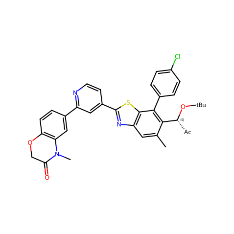 CC(=O)[C@@H](OC(C)(C)C)c1c(C)cc2nc(-c3ccnc(-c4ccc5c(c4)N(C)C(=O)CO5)c3)sc2c1-c1ccc(Cl)cc1